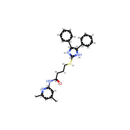 Cc1cc(C)nc(NC(=O)CCCSc2nc(-c3ccccc3)c(-c3ccccc3)[nH]2)c1